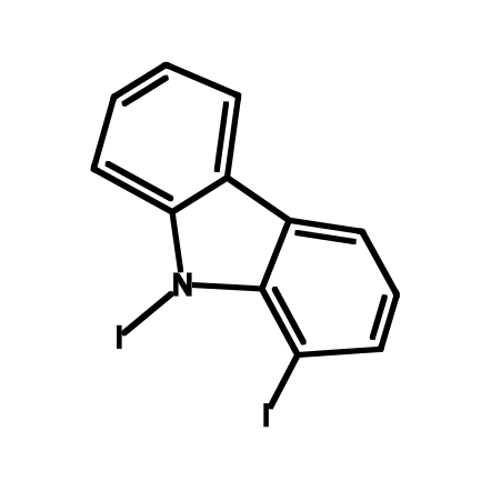 Ic1cccc2c3ccccc3n(I)c12